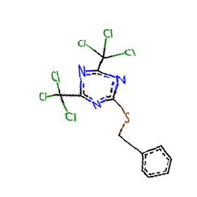 ClC(Cl)(Cl)c1nc(SCc2ccccc2)nc(C(Cl)(Cl)Cl)n1